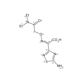 CCN(CC)C(=O)CON=C(C(=O)O)c1nsc(N)n1